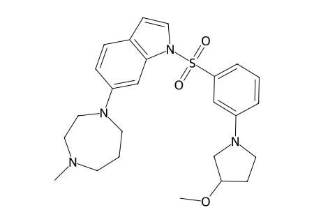 COC1CCN(c2cccc(S(=O)(=O)n3ccc4ccc(N5CCCN(C)CC5)cc43)c2)C1